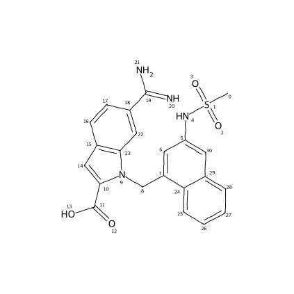 CS(=O)(=O)Nc1cc(Cn2c(C(=O)O)cc3ccc(C(=N)N)cc32)c2ccccc2c1